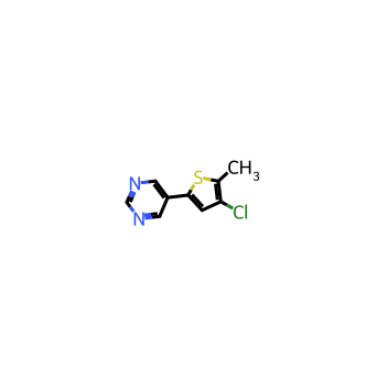 Cc1sc(-c2cncnc2)cc1Cl